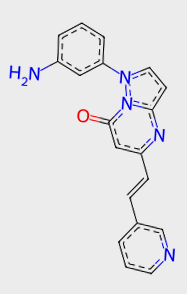 Nc1cccc(-n2ccc3nc(/C=C/c4cccnc4)cc(=O)n32)c1